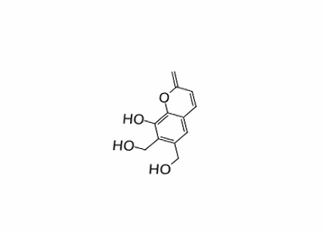 C=C1C=Cc2cc(CO)c(CO)c(O)c2O1